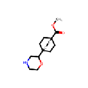 COC(=O)C12CCC(C3CNCCO3)(CC1)CC2